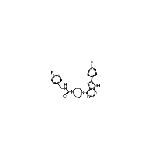 O=C(NCc1ccc(F)cc1)N1CCN(c2ncnc3[nH]c(-c4ccc(F)cc4)cc23)CC1